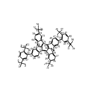 CC(C)(C)c1ccc(C(C)(C)C)c(-c2ccc3c4c5c6cc(C(C)(C)C)ccc6n6c7cc(-c8cc(C(C)(C)C)ccc8C(C)(C)C)ccc7c(c7c8cc(C(C)(C)C)ccc8n(c3c2)c74)c56)c1